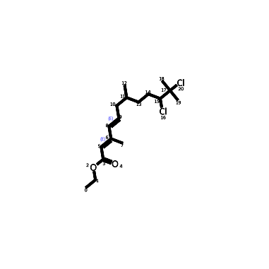 CCOC(=O)/C=C(C)/C=C/CC(C)CCC(Cl)C(C)(C)Cl